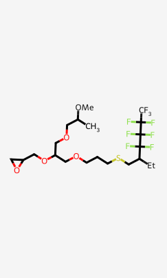 CCC(CSCCCOCC(COCC(C)OC)OCC1CO1)C(F)(F)C(F)(F)C(F)(F)C(F)(F)F